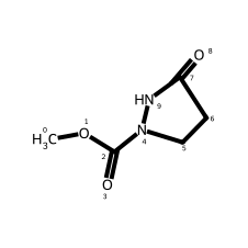 COC(=O)N1CCC(=O)N1